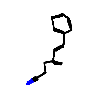 C=C(/C=C/c1ccccc1)CCC#N